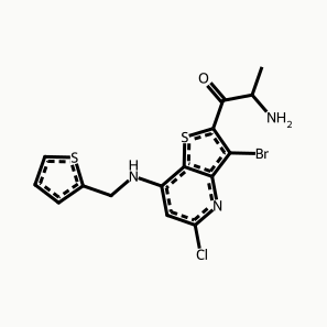 CC(N)C(=O)c1sc2c(NCc3cccs3)cc(Cl)nc2c1Br